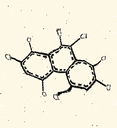 Clc1[c]c(Cl)c2c(c1Cl)c(Cl)c(Cl)c1c(Cl)c(Cl)[c]c(Cl)c12